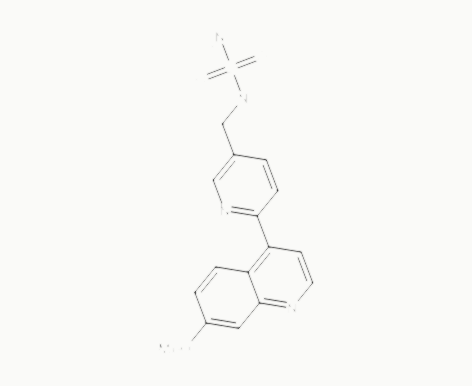 COc1ccc2c(-c3ccc(CNS(N)(=O)=O)cn3)ccnc2c1